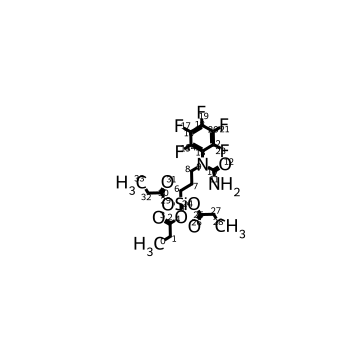 CCC(=O)O[Si](CCCN(C(N)=O)c1c(F)c(F)c(F)c(F)c1F)(OC(=O)CC)OC(=O)CC